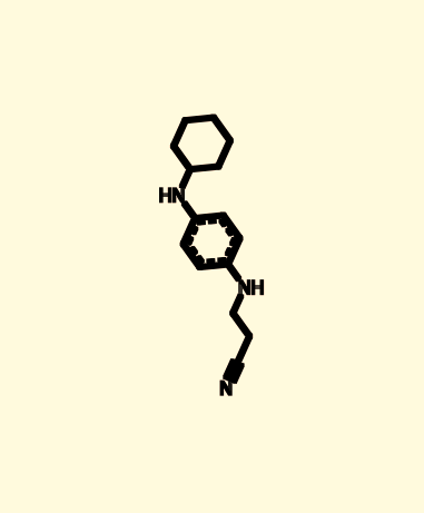 N#CCCNc1ccc(NC2CCCCC2)cc1